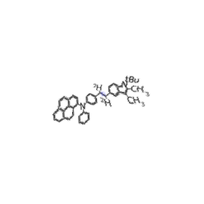 [2H]/C(=C(/[2H])c1ccc2c(c1)c(C)c(C)n2C(C)(C)C)c1ccc(N(c2ccccc2)c2ccc3ccc4cccc5ccc2c3c45)cc1